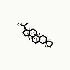 [C-]#[N+]C(C)=C1CC[C@H]2[C@@H]3CC=C4CC5(CC[C@]4(C)[C@@]3(O)CC[C@]12C)OCCO5